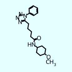 COC1CCC(NC(=O)CCCCc2nnnn2-c2ccccc2)CC1